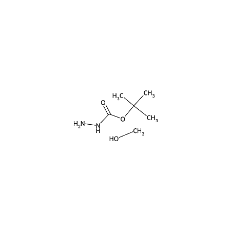 CC(C)(C)OC(=O)NN.CO